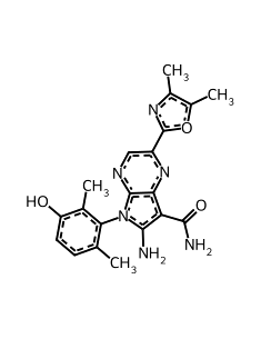 Cc1ccc(O)c(C)c1-n1c(N)c(C(N)=O)c2nc(-c3nc(C)c(C)o3)cnc21